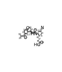 N#Cc1ccc(CCCC(=O)O)c(NC(=O)[C@@H]2C[C@]23CCOc2ccc(C(=O)C4CC4)cc23)c1